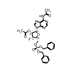 CC(=O)Nc1ncnc2c1ncn2[C@@H]1O[C@H](COP(=O)(OCc2ccccc2)OCc2ccccc2)[C@H](F)[C@@H]1OC(C)=O